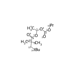 CC(C)OC(=O)OC(C)OC(=O)C(C)(C)CC(C)(C)C